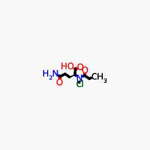 CCC(=O)N(Cl)[C@@H](CCC(N)=O)C(=O)O